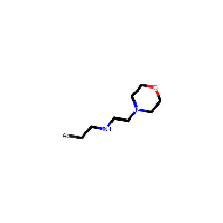 CC(=O)CCNCCN1CCOCC1